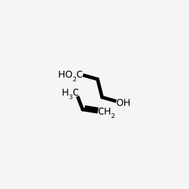 C=CC.O=C(O)CCO